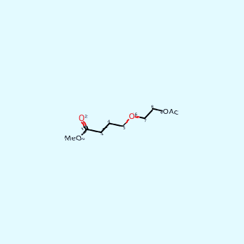 COC(=O)CCCOCCOC(C)=O